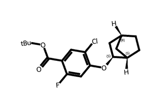 CC(C)(C)OC(=O)c1cc(Cl)c(O[C@H]2C[C@@H]3CC[C@H]2C3)cc1F